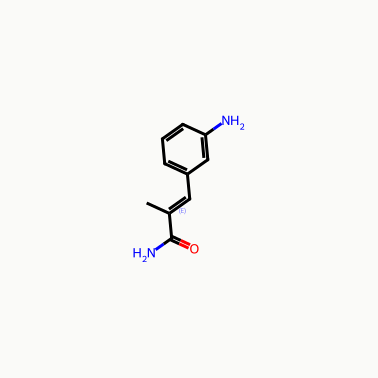 C/C(=C\c1cccc(N)c1)C(N)=O